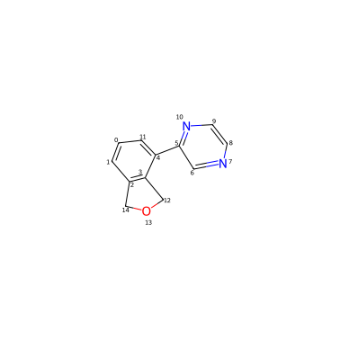 c1cc2c(c(-c3cnccn3)c1)COC2